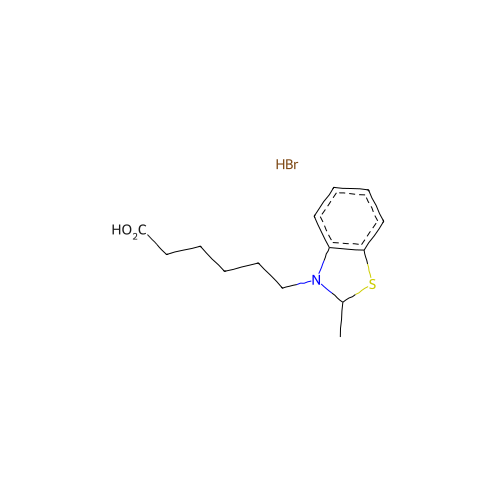 Br.CC1Sc2ccccc2N1CCCCCC(=O)O